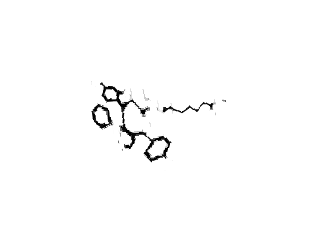 COC(=O)CCCCCCNC(=O)c1[nH]c2cc(Cl)ccc2c1-c1c(Cc2ccc(Cl)cc2)cnn1-c1ccccc1